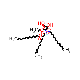 C=CCO[C@@H]1O[C@H](CO)[C@@H](O)[C@H](OC(=O)CCCCCCCCCCCCC)[C@H]1NC(=O)[C@H](F)[C@H](CCCCCCCCCCC)OC(=O)CCCCCCCCCCCCC